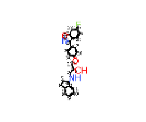 O[C@@H](CNC1CCc2ccccc21)COc1ccc(-c2noc3cc(F)ccc23)cc1